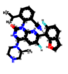 CC(C)c1cccc(C#N)c1-n1c(=O)nc(N2CCNC[C@@H]2C)c2cc(F)c(-c3c(F)ccc4ccoc34)nc21